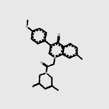 COc1ccc(-c2cn(CC(=O)N3CC(C)CC(C)C3)c3cc(C)ccc3c2=O)cc1